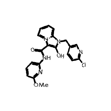 COc1cccc(NC(=O)c2c(O)n(Cc3ccc(Cl)nc3)c3cccc[n+]23)n1